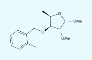 CO[C@H]1O[C@H](C)[C@H](OCc2ccccc2C)[C@H]1OC